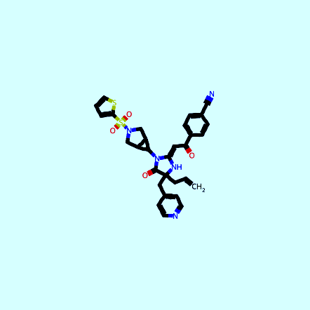 C=CCC1(Cc2ccncc2)NC(=CC(=O)c2ccc(C#N)cc2)N(C2C3CN(S(=O)(=O)c4cccs4)CC32)C1=O